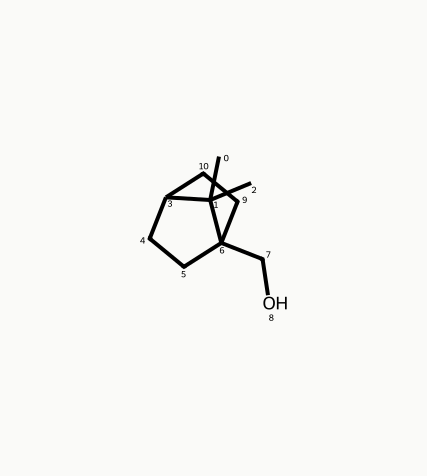 CC1(C)C2CCC1(CO)CC2